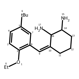 CCOc1ccc(C(C)(C)C)cc1C=C1CCCC(N)C1N